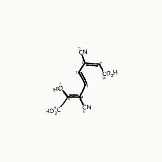 N#CC(C=CC(C#N)=C(O)C(=O)O)=CC(=O)O